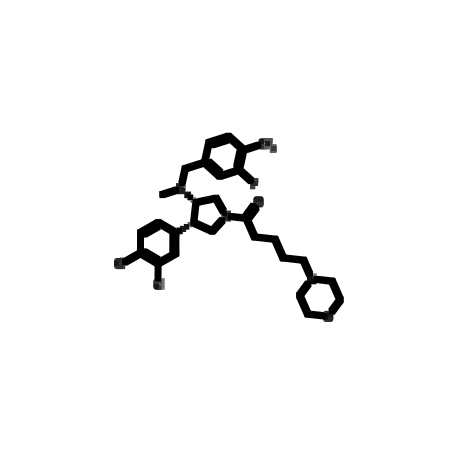 CN(Cc1ccc(C(F)(F)F)c(F)c1)[C@@H]1CN(C(=O)CCCCN2CCOCC2)C[C@@H]1c1ccc(Cl)c(Cl)c1